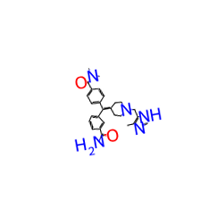 Cc1nc[nH]c1CN1CCC(=C(c2ccc(C(=O)N(C)C)cc2)c2cccc(C(N)=O)c2)CC1